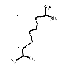 CC(O)COCCCC(N)C(=O)O